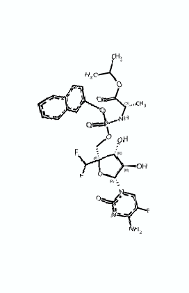 CC(C)OC(=O)[C@H](C)NP(=O)(OC[C@@]1(C(F)F)O[C@@H](n2cc(F)c(N)nc2=O)[C@H](O)[C@H]1O)Oc1ccc2ccccc2c1